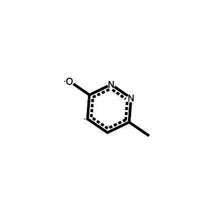 Cc1c[c]c([O])nn1